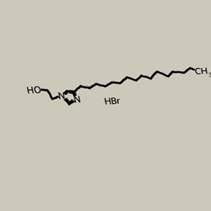 Br.CCCCCCCCCCCCCCCCc1cn(CCO)cn1